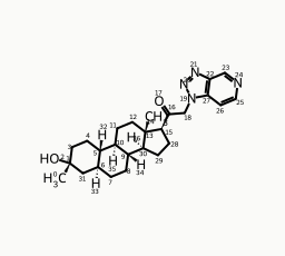 C[C@@]1(O)CC[C@H]2[C@@H](CC[C@@H]3[C@@H]2CC[C@]2(C)[C@@H](C(=O)Cn4nnc5cnccc54)CC[C@@H]32)C1